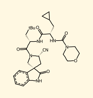 CC(C)(C)C[C@H](NC(=O)[C@H](CC1CC1)NC(=O)N1CCOCC1)C(=O)N1C[C@]2(C[C@H]1C#N)C(=O)Nc1ccccc12